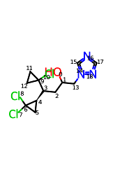 OC(CC([C@H]1CC1(Cl)Cl)C1(Cl)CC1)Cn1cncn1